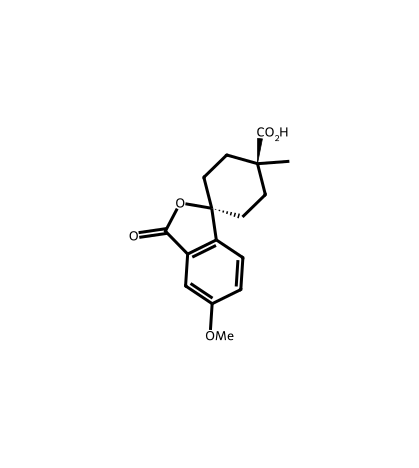 COc1ccc2c(c1)C(=O)O[C@]21CC[C@](C)(C(=O)O)CC1